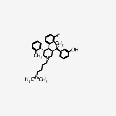 Cc1cc[c]cc1[C@H]1CN(CCCCN(C)C)C[C@H](C(=O)c2cccc(O)c2)[C@@H]1c1cccc(F)c1C